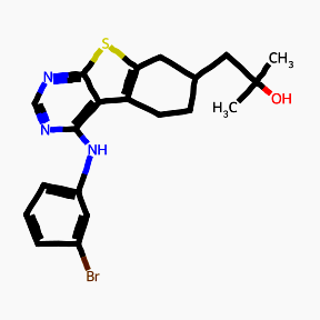 CC(C)(O)CC1CCc2c(sc3ncnc(Nc4cccc(Br)c4)c23)C1